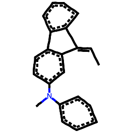 C/C=C1/c2ccccc2-c2ccc(N(C)c3ccccc3)cc21